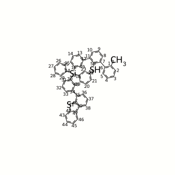 Cc1ccccc1-c1cccc(-c2cccc([Si](c3ccccc3)(c3ccccc3)c3cccc(-c4cccc5c4sc4ccccc45)c3)c2)c1S